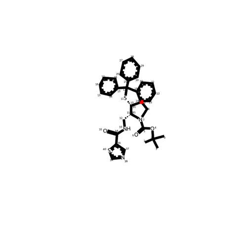 CC(C)(C)OC(=O)N1CC[C@@H](SC(c2ccccc2)(c2ccccc2)c2ccccc2)[C@H]1CNC(=O)c1cncs1